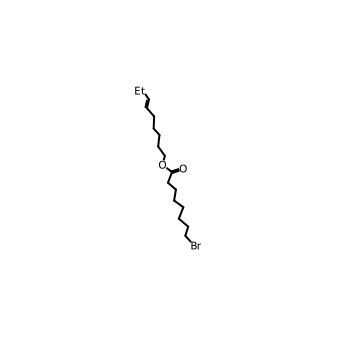 CCC=CCCCCCOC(=O)CCCCCCCBr